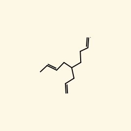 [CH]=CCCC(CC=C)CC=CC